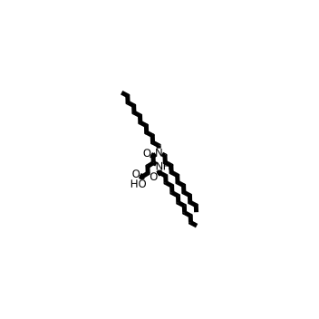 CCCCCCCCCCCCN(CCCCCCCCCCCC)C(=O)C(CCC(=O)O)NC(=O)CCCCCCCCCCC